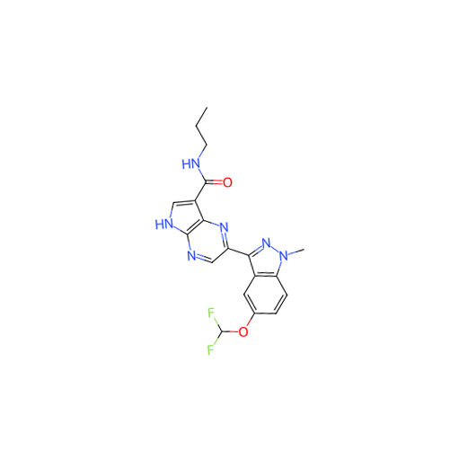 CCCNC(=O)c1c[nH]c2ncc(-c3nn(C)c4ccc(OC(F)F)cc34)nc12